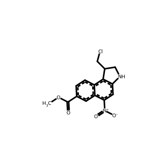 COC(=O)c1ccc2c3c(cc([N+](=O)[O-])c2c1)NCC3CCl